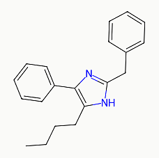 CCCCc1[nH]c(Cc2ccccc2)nc1-c1ccccc1